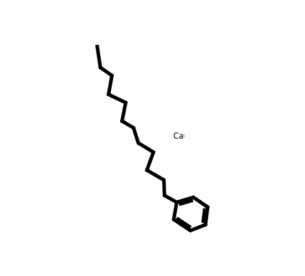 CCCCCCCCCCCCc1ccccc1.[Ca]